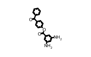 Nc1cc(N)cc(C(=O)Oc2ccc(C(=O)c3ccccc3)cc2)c1